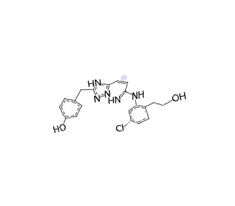 N=C(/C=C\c1nnc(Cc2ccc(O)cc2)[nH]1)Nc1cc(Cl)ccc1CCO